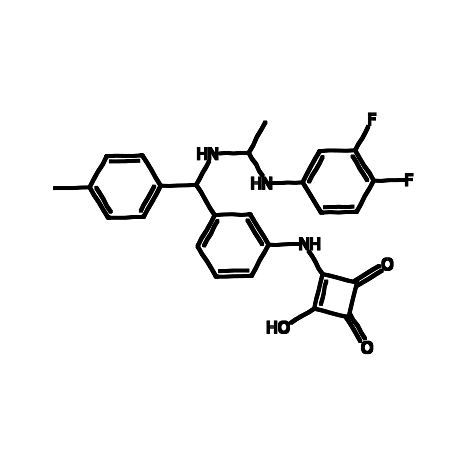 Cc1ccc(C(NC(C)Nc2ccc(F)c(F)c2)c2cccc(Nc3c(O)c(=O)c3=O)c2)cc1